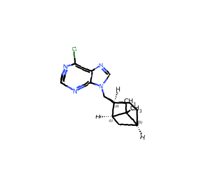 CC1(C)[C@H]2CC[C@H](Cn3cnc4c(Cl)ncnc43)[C@@H]1C2